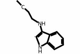 CCCCNc1[c][nH]c2ccccc12